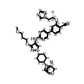 COCCCOc1nn([C@H]2CC[C@H](N3C=C4C[C@@H]3CO4)CC2)cc1Nc1ncc(-c2ccc(C#N)c(O[C@@H](C)Cn3cncn3)c2)cn1